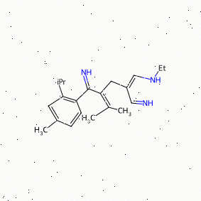 CCN/C=C(\C=N)CC(C(=N)c1ccc(C)cc1C(C)C)=C(C)C